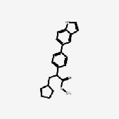 COC(=O)C(CC1CCCC1)c1ccc(-c2ccc3[nH]ccc3c2)cc1